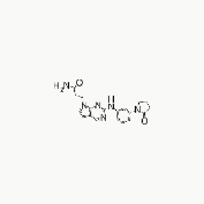 NC(=O)CCn1ccc2cnc(Nc3cccc(N4CCCC4=O)c3)nc21